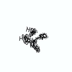 CN1C(=O)NS(=O)(=O)c2cc(-c3cnc(N4CCOCC4)c4nc(C=Cc5ccc6ccccc6n5)cn34)ccc21.O=C(O)C(F)(F)F